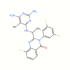 CC(Nc1nc(N)nc(N)c1C#N)c1nc2c(F)cccc2c(=O)n1-c1cc(F)cc(F)c1